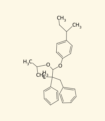 CCC(C)c1ccc(OC(OC(C)C)C(C)(Cc2ccccc2)c2ccccc2)cc1